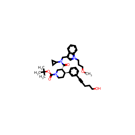 COCCCn1cc(CN(C(=O)[C@H]2CN(C(=O)OC(C)(C)C)CC[C@@H]2c2cccc(C#CCCCO)c2)C2CC2)c2ccccc21